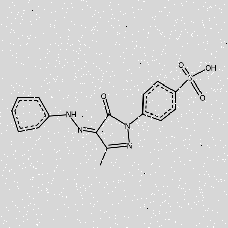 CC1=NN(c2ccc(S(=O)(=O)O)cc2)C(=O)C1=NNc1ccccc1